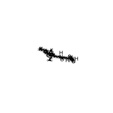 CC(C)CC[C@H]1C(=O)N([C@@H](CC(C)C)C(=O)N2CCC(CCN(C)C)CC2)CCN1CCCCCNC(=O)CCCCC1SCC2NC(=O)NC21